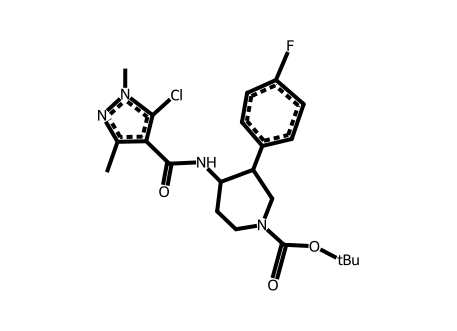 Cc1nn(C)c(Cl)c1C(=O)NC1CCN(C(=O)OC(C)(C)C)CC1c1ccc(F)cc1